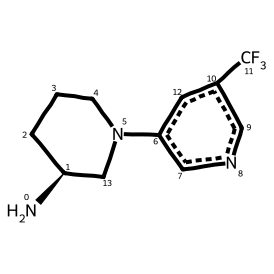 N[C@H]1CCCN(c2cncc(C(F)(F)F)c2)C1